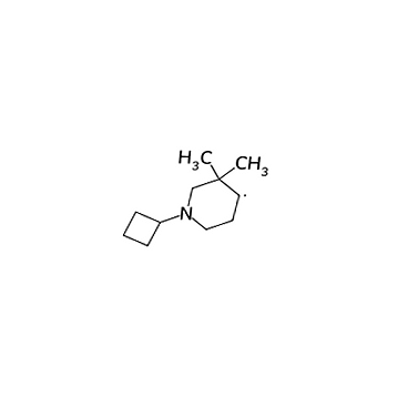 CC1(C)[CH]CCN(C2CCC2)C1